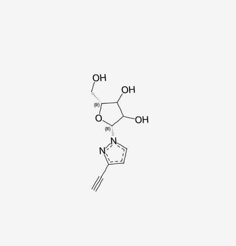 C#Cc1ccn([C@@H]2O[C@H](CO)C(O)C2O)n1